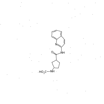 O=C(O)NC1CCC(C(=O)Nc2ccc3ccccc3n2)C1